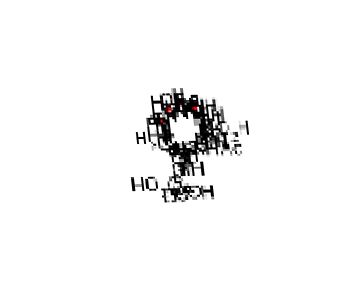 CC(=O)N[C@H]1CCCCn2c(c3ccccc3c2C2CC(=O)N(CCNC(=O)Cc3ccc(C(=O)O)c(-c4c5ccc(=O)cc-5oc5cc(O)ccc45)c3)C2=O)SC[C@@H](C(N)=O)NC(=O)[C@H](Cc2c[nH]c3ccccc23)NC(=O)[C@H](Cc2ccc(O)cc2)NC(=O)[C@H](Cc2cnc[nH]2)NC(=O)[C@H](Cc2c[nH]c3ccccc23)NC(=O)C(CO)NC(=O)[C@H](CC(=O)O)NC(=O)[C@H](CO)NC1=O